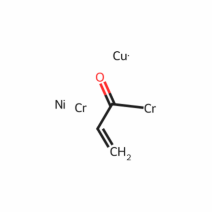 C=C[C](=O)[Cr].[Cr].[Cu].[Ni]